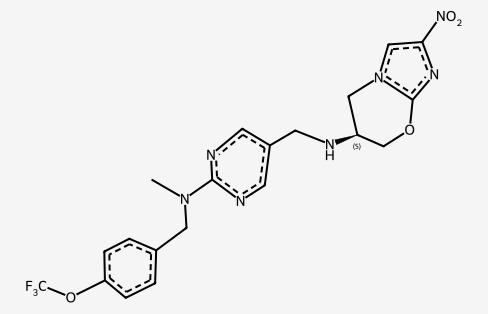 CN(Cc1ccc(OC(F)(F)F)cc1)c1ncc(CN[C@@H]2COc3nc([N+](=O)[O-])cn3C2)cn1